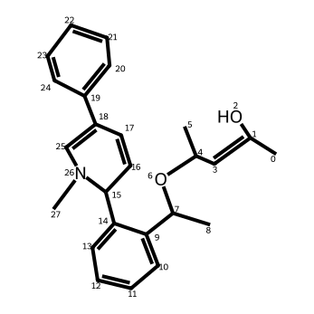 C/C(O)=C/C(C)OC(C)c1ccccc1C1C=CC(c2ccccc2)=CN1C